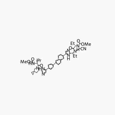 CC[C@H](NC(=O)OC)C(=O)N(CCC#N)[C@@H](CC)c1ncc(-c2ccc3cc(-c4ccc(-c5cnc([C@@H]6CC7(CC7)CN6C(=O)[C@@H](NC(=O)OC)C(C)C)[nH]5)cc4)ccc3c2)[nH]1